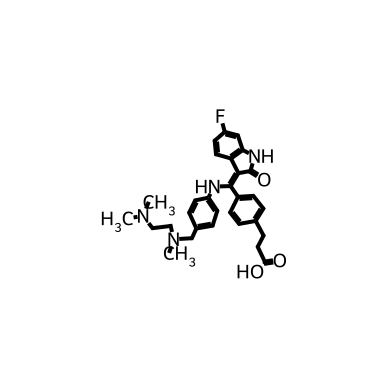 CN(C)CCN(C)Cc1ccc(NC(=C2C(=O)Nc3cc(F)ccc32)c2ccc(CCC(=O)O)cc2)cc1